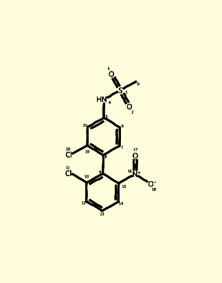 CS(=O)(=O)Nc1ccc(-c2c(Cl)[c]ccc2[N+](=O)[O-])c(Cl)c1